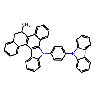 CC1Cc2ccccc2-c2c1c1ccccc1c1c2c2ccccc2n1-c1ccc(-n2c3ccccc3c3ccccc32)cc1